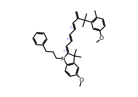 C=C(/C=C/C=C/C=C1/N(CCCc2ccccc2)c2ccc(OC)cc2C1(C)C)C(C)(C)c1cc(OC)ccc1C